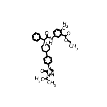 CCOC(=O)c1cc(NC(=O)C(c2ccccc2)N2CCC(c3ccc(-n4cnn(C(C)C)c4=O)cc3)CC2)ccc1C